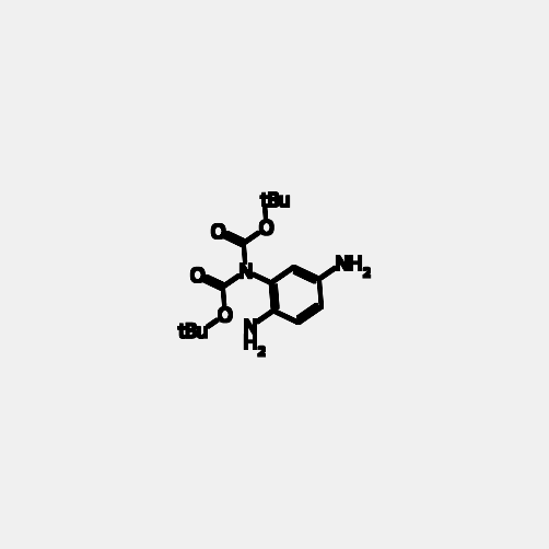 CC(C)(C)OC(=O)N(C(=O)OC(C)(C)C)c1cc(N)ccc1N